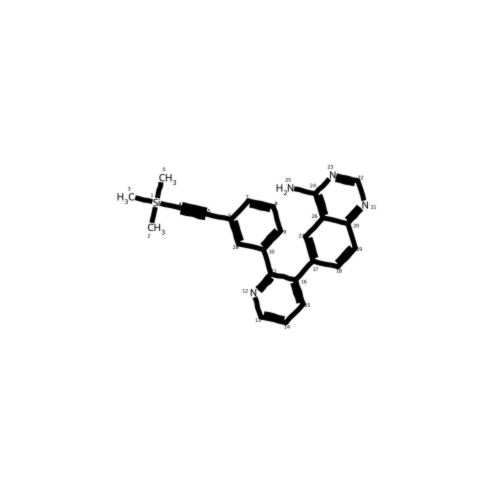 C[Si](C)(C)C#Cc1cccc(-c2ncccc2-c2ccc3ncnc(N)c3c2)c1